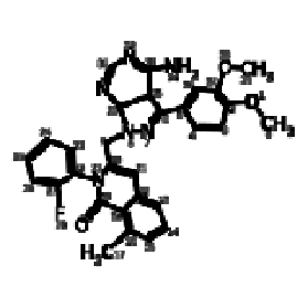 COc1ccc(C2=NN(Cc3cc4cccc(C)c4c(=O)n3-c3ccccc3F)C3N=CN=C(N)C23)cc1OC